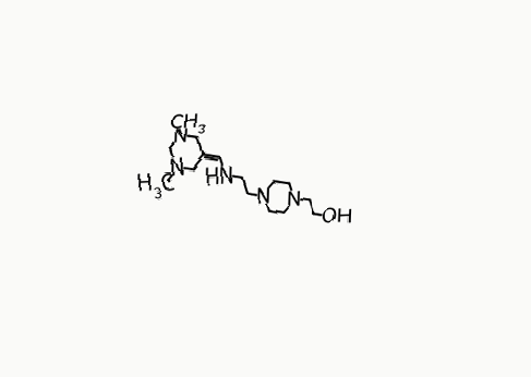 CN1CC(=CNCCN2CCN(CCO)CC2)CN(C)C1